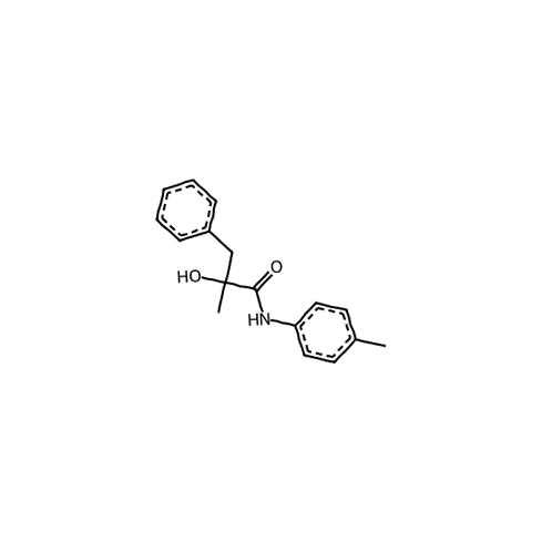 Cc1ccc(NC(=O)C(C)(O)Cc2ccccc2)cc1